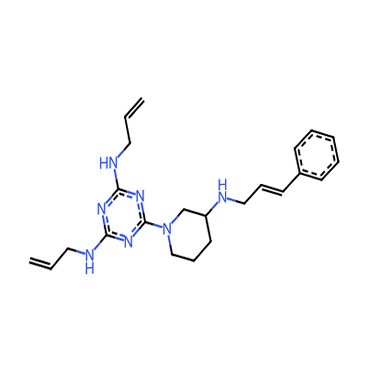 C=CCNc1nc(NCC=C)nc(N2CCCC(NCC=Cc3ccccc3)C2)n1